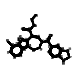 CCOC(=O)C1=CN(C(=O)c2ccc3c(c2)OCO3)CCc2c1[nH]c1c(C)cccc21